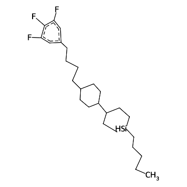 CCCCC[SiH]1CCC(C2CCC(CCCCc3cc(F)c(F)c(F)c3)CC2)CC1